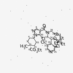 CCOC(=O)[C@]1(C)CC[C@@H](n2ncc(C(=O)N(CC(O[Si](CC)(CC)CC)c3c(Cl)cncc3Cl)CC(C)(C)C)c2Cl)CC1